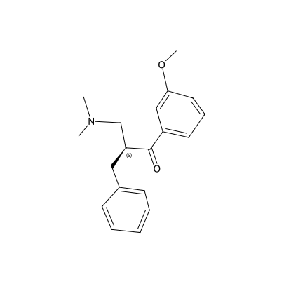 COc1cccc(C(=O)[C@@H](Cc2ccccc2)CN(C)C)c1